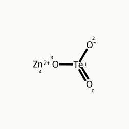 O=[Te]([O-])[O-].[Zn+2]